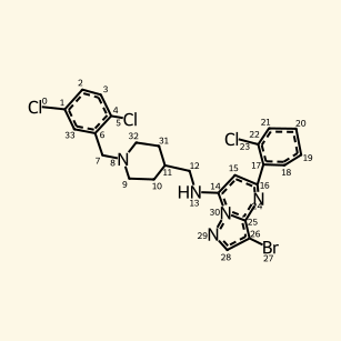 Clc1ccc(Cl)c(CN2CCC(CNc3cc(-c4ccccc4Cl)nc4c(Br)cnn34)CC2)c1